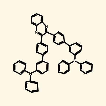 c1ccc(N(c2ccccc2)c2cccc(-c3ccc(-c4nc5ccccc5nc4-c4ccc(-c5cccc(N(c6ccccc6)c6ccccc6)c5)cc4)cc3)c2)cc1